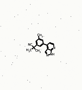 Cc1cc(-c2ccnc3[nH]ncc23)cc(C(C)(C)C#N)c1